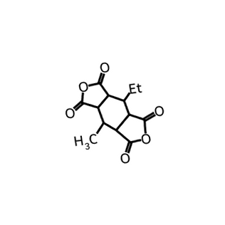 CCC1C2C(=O)OC(=O)C2C(C)C2C(=O)OC(=O)C12